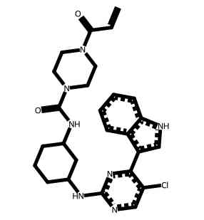 C=CC(=O)N1CCN(C(=O)NC2CCCC(Nc3ncc(Cl)c(-c4c[nH]c5ccccc45)n3)C2)CC1